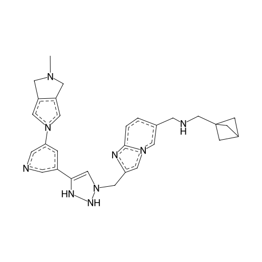 CN1Cc2cn(-c3cncc(C4=CN(Cc5cn6cc(CNCC78CC(C7)C8)ccc6n5)NN4)c3)cc2C1